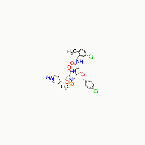 Cc1ccc(Cl)cc1CNC(=O)[C@@H]1C[C@@H](OCc2ccc(Cl)cc2)CN1C(=O)[C@@H](CCC1CCNCC1)NS(C)(=O)=O